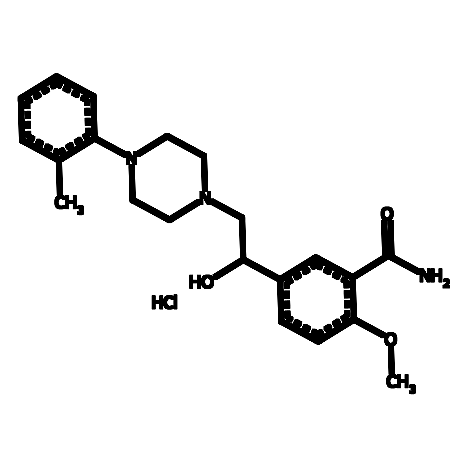 COc1ccc(C(O)CN2CCN(c3ccccc3C)CC2)cc1C(N)=O.Cl